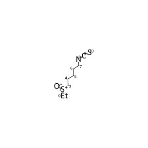 CC[S+]([O-])CCCCCN=C=S